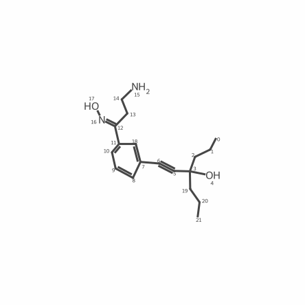 CCCC(O)(C#Cc1cccc(/C(CCN)=N/O)c1)CCC